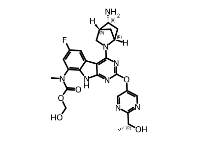 C[C@@H](O)c1ncc(Oc2nc(N3C[C@H]4C[C@@H]3C[C@H]4N)c3c(n2)[nH]c2c(N(C)C(=O)OCO)cc(F)cc23)cn1